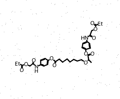 CCC(=O)OCC(=O)Nc1ccc(OC(=O)CCCCCCCOC(C)C(=O)Oc2ccc(NC(=O)COC(=O)CC)cc2)cc1